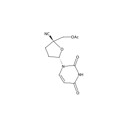 CC(=O)OC[C@@]1(C#N)CC[C@@H](n2ccc(=O)[nH]c2=O)O1